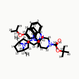 Cc1nc2ccccc2n1[C@H]1C[C@H]2CC[C@@H](C1)N2CCC1(c2cccc(OC(C)C)c2)CCN(C(=O)OC(C)(C)C)CC1